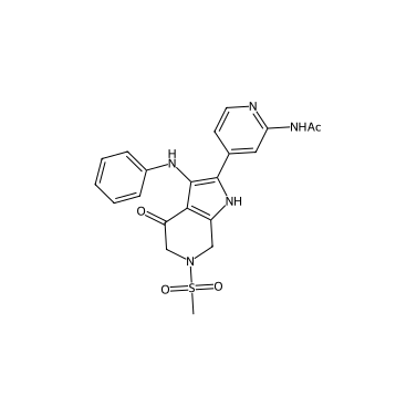 CC(=O)Nc1cc(-c2[nH]c3c(c2Nc2ccccc2)C(=O)CN(S(C)(=O)=O)C3)ccn1